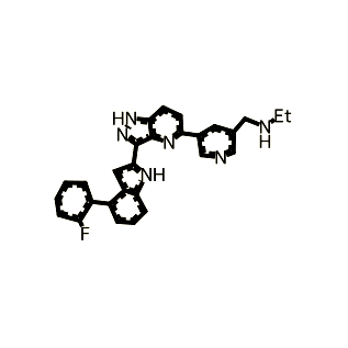 CCNCc1cncc(-c2ccc3[nH]nc(-c4cc5c(-c6ccccc6F)cccc5[nH]4)c3n2)c1